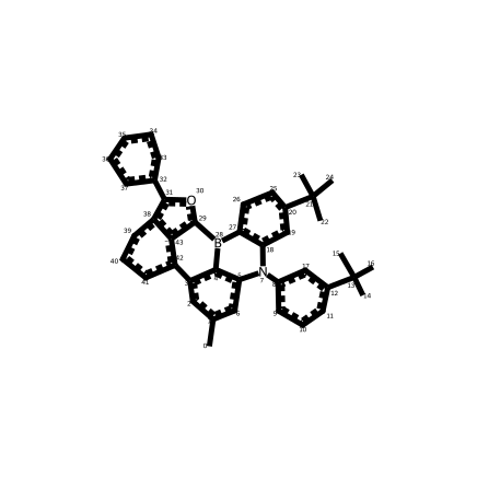 Cc1cc2c3c(c1)N(c1cccc(C(C)(C)C)c1)c1cc(C(C)(C)C)ccc1B3c1oc(-c3ccccc3)c3cccc-2c13